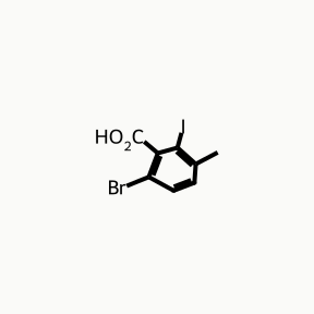 Cc1ccc(Br)c(C(=O)O)c1I